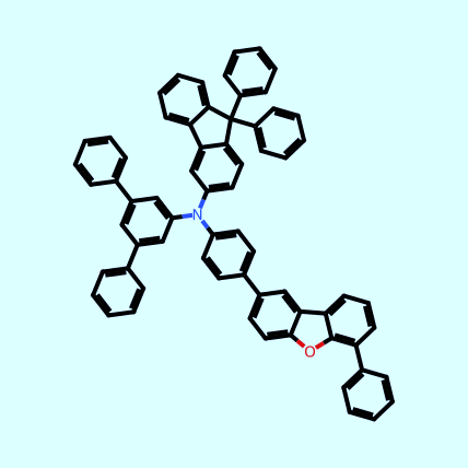 c1ccc(-c2cc(-c3ccccc3)cc(N(c3ccc(-c4ccc5oc6c(-c7ccccc7)cccc6c5c4)cc3)c3ccc4c(c3)-c3ccccc3C4(c3ccccc3)c3ccccc3)c2)cc1